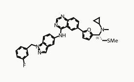 CSC[C@H](c1ccc(-c2ccc3ncnc(Nc4ccc5c(cnn5Cc5cccc(F)c5)c4)c3c2)o1)N(C)C1CC1